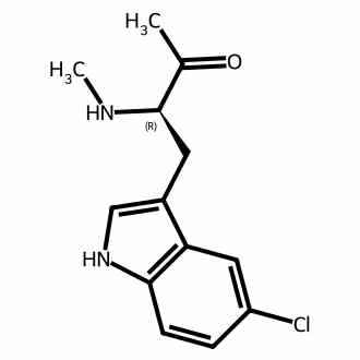 CN[C@H](Cc1c[nH]c2ccc(Cl)cc12)C(C)=O